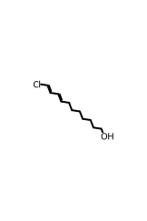 OCCCCCCCC=CC=CCl